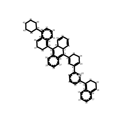 C1=CC2C(C3=CC(c4cccc(C5=c6ccccc6=CCC5)n4)=CCC3)=c3ccccc3=C(C3=c4cccc(C5CCCCC5)c4=CCC3)C2C=C1